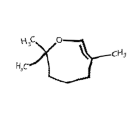 CC1=COC(C)(C)CCC1